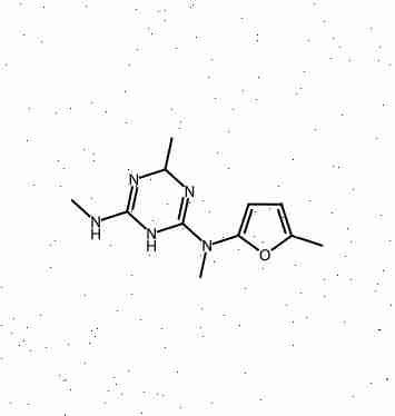 CNC1=NC(C)N=C(N(C)c2ccc(C)o2)N1